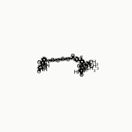 C[C@@H]1CN(c2cc(F)c(C3=CCN(C(=O)CCOCCOCCOCCOCCNc4cccc5c4C(=O)N(C4CCC(=O)NC4=O)C5=O)CC3)cc2NC(=O)c2c[nH]c(=O)cc2C(F)(F)F)C[C@H](C)N1C